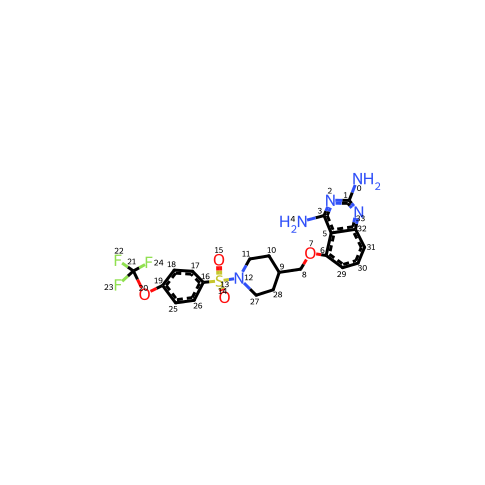 Nc1nc(N)c2c(OCC3CCN(S(=O)(=O)c4ccc(OC(F)(F)F)cc4)CC3)cccc2n1